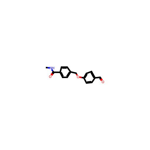 CNC(=O)c1ccc(COc2ccc(C=O)cc2)cc1